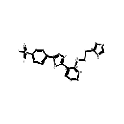 CS(=O)(=O)c1ccc(-c2nnc(-c3cccnc3NCCc3c[nH]cn3)[nH]2)cc1